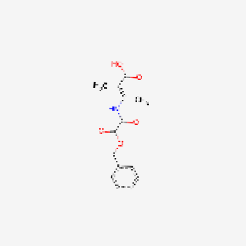 C/C(NC(=O)C(=O)OCc1ccccc1)=C(/C)C(=O)O